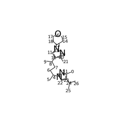 Cc1nn(C(C)CCC(C)c2cn(C3CCOCC3)nc2C)cc1C(C)C